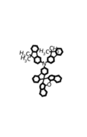 CC1(C)c2ccccc2-c2cc(N(c3ccc4c(c3)-c3ccccc3C43c4ccc5ccccc5c4Oc4c3ccc3ccccc43)c3ccc4c(c3)C(C)(C)c3ccccc3-4)ccc21